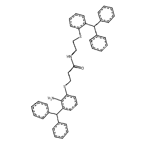 Nc1c(SCCC(=O)NCCSc2ccccc2C(c2ccccc2)c2ccccc2)cccc1C(c1ccccc1)c1ccccc1